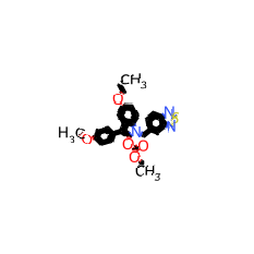 CCCOc1ccc2c(c1)c(-c1ccc(OC)cc1)c(OC(=O)OCC)n2Cc1ccc2nsnc2c1